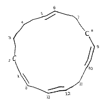 [C]1=CCCCC=CCCC=CCC=C1